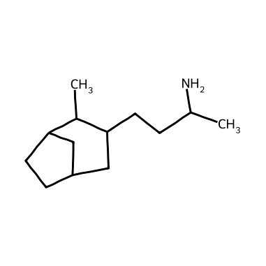 CC(N)CCC1CC2CCC(C2)C1C